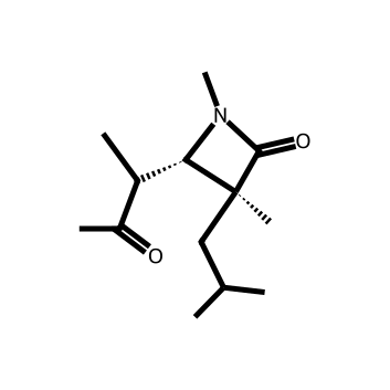 CC(=O)C(C)[C@@H]1N(C)C(=O)[C@@]1(C)CC(C)C